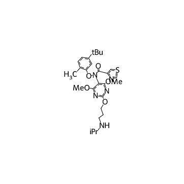 COc1nc(OCCCNC(C)C)nc(OC)c1N(Oc1cc(C(C)(C)C)ccc1C)C(=O)c1cscn1